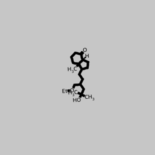 CCOCC(CCC1CC[C@H]2C(=O)CCCC12C)CC(C)(C)O